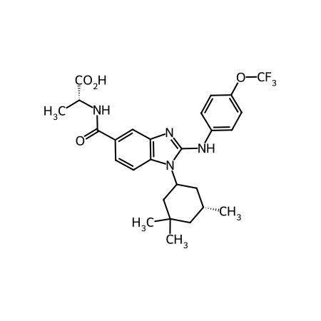 C[C@H]1CC(n2c(Nc3ccc(OC(F)(F)F)cc3)nc3cc(C(=O)N[C@H](C)C(=O)O)ccc32)CC(C)(C)C1